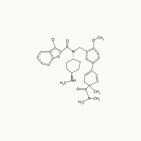 CN[C@H]1CC[C@H](N(Cc2cc(C3=CCC(C)(C(=O)N(C)C)C=C3)ccc2OC)C(=O)c2sc3ccccc3c2Cl)CC1